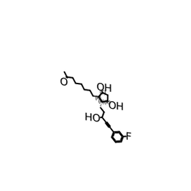 CC(=O)CCCCCC[C@@H]1[C@@H](CCC(O)C#Cc2cccc(F)c2)[C@H](O)C[C@@H]1O